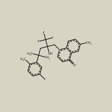 Cc1ccc2c(c1)c(=O)ccn2CC(O)(CC(C)(C)c1cc(F)ccc1C)C(F)(F)F